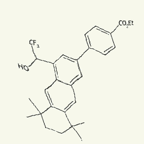 CCOC(=O)c1ccc(-c2cc(C(O)C(F)(F)F)c3cc4c(cc3c2)C(C)(C)CCC4(C)C)cc1